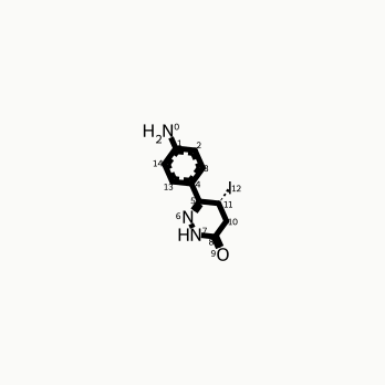 Nc1ccc(C2=NNC(=O)C[C@H]2I)cc1